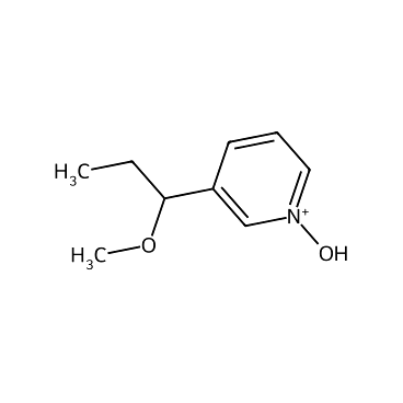 CCC(OC)c1ccc[n+](O)c1